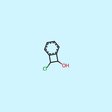 OC1c2ccccc2C1Cl